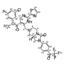 COC(=O)C1=C(CN2CCN3C(=O)N(c4ccc(C(=O)C(F)(F)F)cc4)C[C@@H]3C2)NC(c2nccs2)=N[C@H]1c1ccc(F)cc1Cl